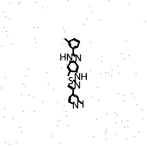 Cc1cccc(-c2nc3cc(Nc4nc(-c5ccnc(I)c5)cs4)c(C)cc3[nH]2)c1